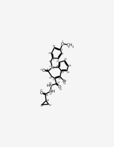 COc1ccc(CN2C(=O)CC(C(=O)NNC(=O)C3CC3)=C(Br)c3ccccc32)cc1